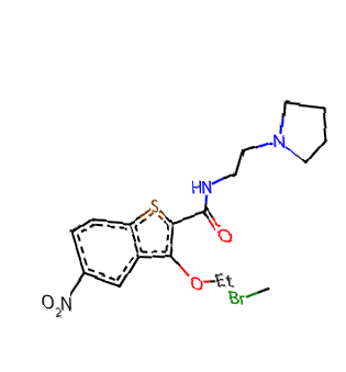 CBr.CCOc1c(C(=O)NCCN2CCCC2)sc2ccc([N+](=O)[O-])cc12